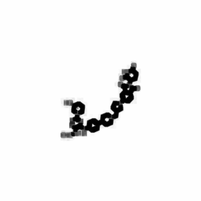 O=CNc1nnc(N2CCC[C@@H](O)C2)nc1Nc1ccc(C2CCN(CC3CCN(c4ccc5c(c4)C(=O)N(C4CCC(=O)NC4=O)C5=O)C3)CC2)cc1